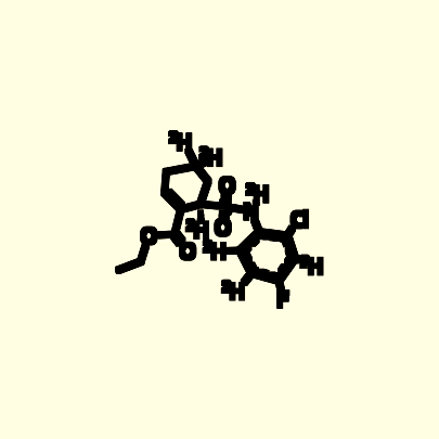 [2H]c1c([2H])c(N([2H])S(=O)(=O)[C@]2([2H])CC([2H])([2H])CC=C2C(=O)OCC)c(Cl)c([2H])c1F